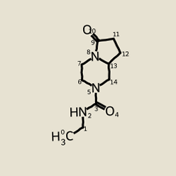 CCNC(=O)N1CCN2C(=O)CCC2C1